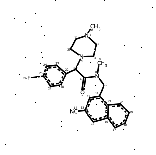 CN1CCN(C(C(=O)N(C)Cc2cc(C#N)cc3ccccc23)c2ccc(F)cc2)CC1